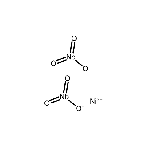 [Ni+2].[O]=[Nb](=[O])[O-].[O]=[Nb](=[O])[O-]